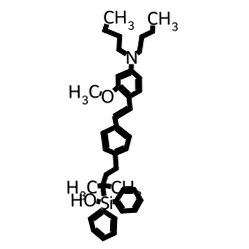 CCCCN(CCCC)c1ccc(C=Cc2ccc(CCC(C)(C)[Si](O)(c3ccccc3)c3ccccc3)cc2)c(OC)c1